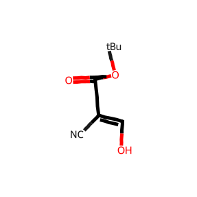 CC(C)(C)OC(=O)C(C#N)=CO